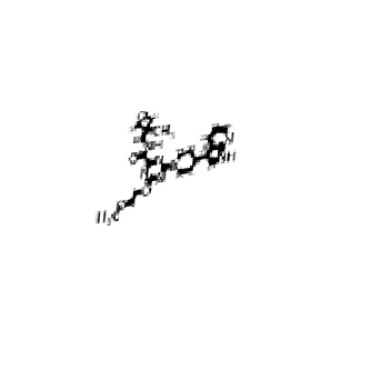 COCCOc1nc(C(=O)NCC2(C)COC2)nc(N2CCC(c3c[nH]c4ncccc34)CC2)n1